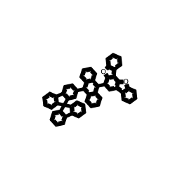 c1ccc2c(c1)-c1ccccc1C21c2ccccc2-c2ccc(-c3c4ccccc4c(-c4cc5c6ccccc6oc5c5c4oc4ccccc45)c4ccccc34)cc21